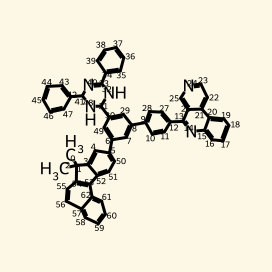 CC1(C)c2cc(-c3cc(-c4ccc(-c5nc6ccccc6c6ccncc56)cc4)cc(C4NC(c5ccccc5)=NC(c5ccccc5)N4)c3)ccc2-c2c1ccc1ccccc21